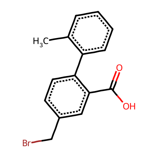 Cc1ccccc1-c1ccc(CBr)cc1C(=O)O